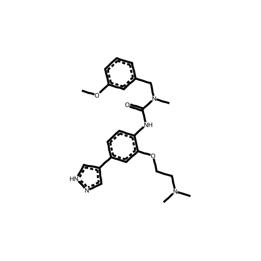 COc1cccc(CN(C)C(=O)Nc2ccc(-c3cn[nH]c3)cc2OCCN(C)C)c1